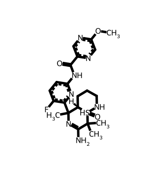 COc1cnc(C(=O)Nc2ccc(F)c(C3(C)N=C(N)C(C)(C)[SH]4(=O)NCCC[C@@H]34)n2)cn1